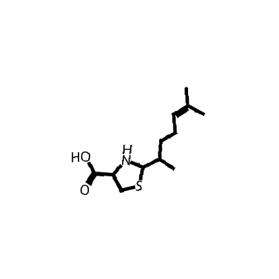 CC(C)=CCCC(C)C1NC(C(=O)O)CS1